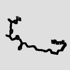 CCCCC/C=C\C/C=C\CCCCCCCC(=O)OCC(C)OCC(C)OCC